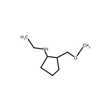 CCNC1CCCC1COC